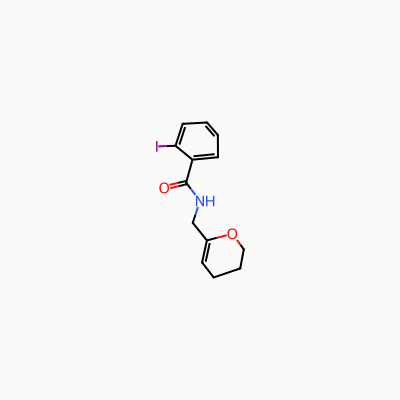 O=C(NCC1=CCCCO1)c1ccccc1I